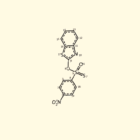 O=[N+]([O-])c1ccc(S(=O)(=S)Oc2nc3ccccc3s2)cc1